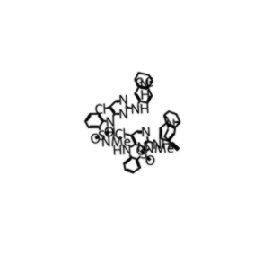 C#CCN1CC2CCC(C1)c1cc(Nc3ncc(Cl)c(Nc4ccccc4S(=O)(=O)NC)n3)ccc12.CNS(=O)(=O)c1ccccc1Nc1nc(Nc2ccc3c(c2)C2CCC3CNC2)ncc1Cl